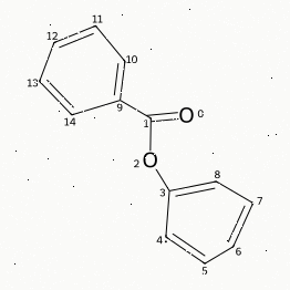 O=C(Oc1[c]cccc1)c1ccccc1